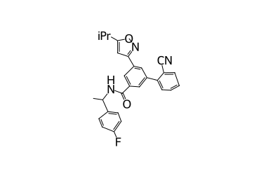 CC(C)c1cc(-c2cc(C(=O)NC(C)c3ccc(F)cc3)cc(-c3ccccc3C#N)c2)no1